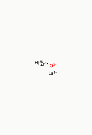 [Hf+4].[La+3].[O-2].[Zr+4]